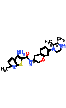 Cc1ccc2c(N)c(C(=O)N[C@H]3COc4cc(N5CCN[C@@H](C)[C@H]5C)ccc4C3)sc2n1